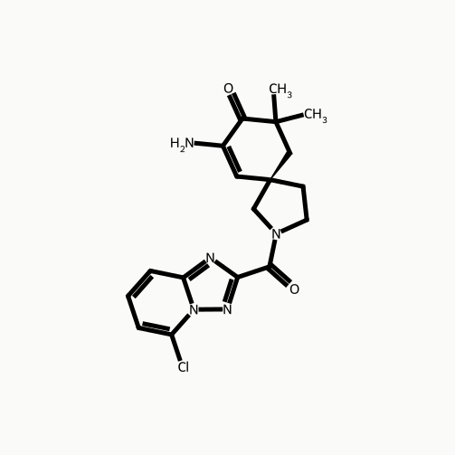 CC1(C)C[C@@]2(C=C(N)C1=O)CCN(C(=O)c1nc3cccc(Cl)n3n1)C2